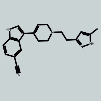 Cc1cc(CCN2CC=C(c3c[nH]c4ccc(C#N)cc34)CC2)n[nH]1